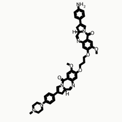 COc1cc2c(cc1OCCCOc1cc3c(cc1OC)C(=O)N1C=C(c4ccc(N5CCN(C)CC5)cc4)C[C@H]1C=N3)N=C[C@@H]1CC(c3ccc(N)cc3)=CN1C2=O